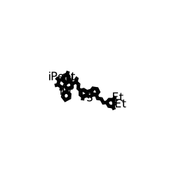 CCCC(C)CC(CCc1cc(C)c2sc3c(CCCC4CC(C)C(CC)C(CC)C4)cccc3c2c1)C1CC(C2CCCCC2)Cc2c(C(C)C(C)CC(C)C)cc(C)nc21